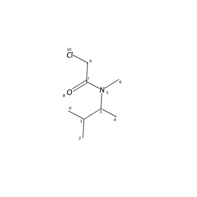 CC(C)C(C)N(C)C(=O)CCl